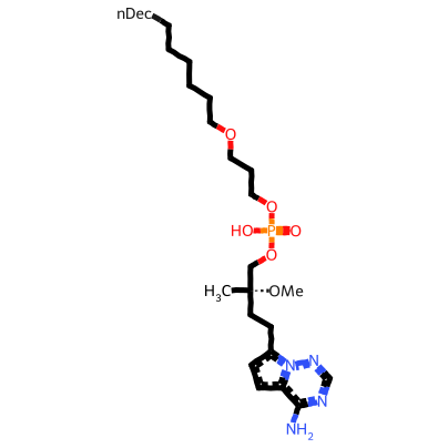 CCCCCCCCCCCCCCCCOCCCOP(=O)(O)OC[C@](C)(CCc1ccc2c(N)ncnn12)OC